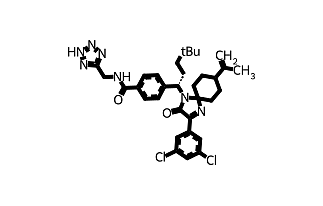 C=C(C)C1CCC2(CC1)N=C(c1cc(Cl)cc(Cl)c1)C(=O)N2[C@@H](CCC(C)(C)C)c1ccc(C(=O)NCc2nn[nH]n2)cc1